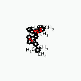 Cc1cc(C)c(-c2ccc3c(c2)c2ccccc2n3-c2ccc(-c3ccc(C#N)cc3C(F)(F)F)cc2-c2c(C#N)cccc2-n2c3ccccc3c3cc(-c4c(C)cc(C)cc4C)ccc32)c(C)c1